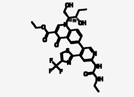 CCNC(=O)Nc1cc(-c2nc(C(F)(F)F)cs2)c(-c2ccc3c(c2)c(=O)c(C(=O)OCC)cn3[C@@H](CO)[C@@H](O)CC)cn1